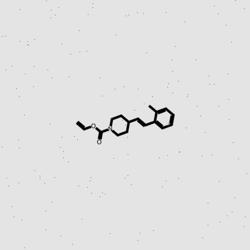 C=COC(=O)N1CCC(C=Cc2ccccc2C)CC1